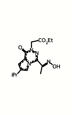 CCOC(=O)Cn1nc(/C(C)=N/O)n2cc(C(C)C)cc2c1=O